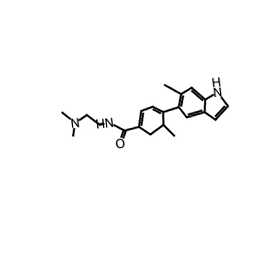 Cc1cc2[nH]ccc2cc1C1=CC=C(C(=O)NCCN(C)C)CC1C